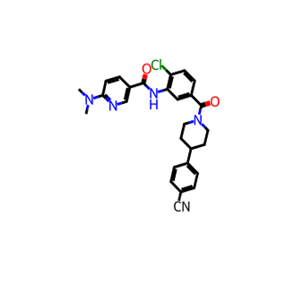 CN(C)c1ccc(C(=O)Nc2cc(C(=O)N3CCC(c4ccc(C#N)cc4)CC3)ccc2Cl)cn1